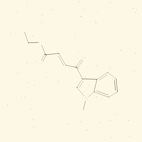 CCOC(=O)/C=C/C(=O)c1cn(C)c2ccccc12